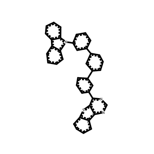 c1cc(-c2cccc(-c3ncnc4c3sc3ccccc34)c2)cc(-c2cccc(-n3c4ccccc4c4ccccc43)c2)c1